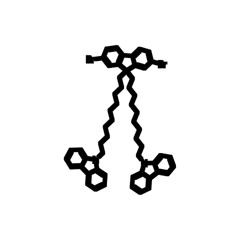 Brc1ccc2c(c1)C(CCCCCCCCCCn1c3ccccc3c3ccccc31)(CCCCCCCCCCn1c3ccccc3c3ccccc31)c1cc(Br)ccc1-2